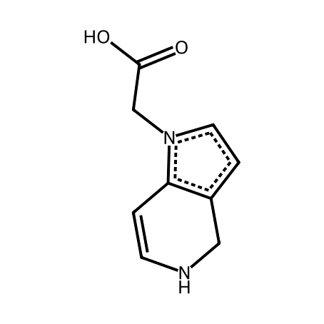 O=C(O)Cn1ccc2c1C=CNC2